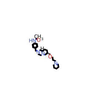 CC(=O)Nc1ccc(CN2CCN3C[C@H](COCCCN4CCCCC4)CC[C@H]3C2)cc1